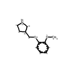 COc1ccccc1OCC1CCNC1